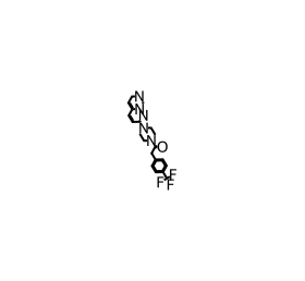 O=C(Cc1ccc(C(F)(F)F)cc1)N1CCN(C2=NN3C=NCC=C3C=C2)CC1